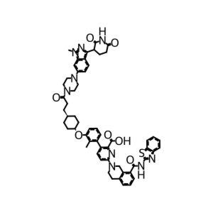 Cc1c(O[C@H]2CC[C@H](CCC(=O)N3CCN(c4ccc5c(C6CCC(=O)NC6=O)nn(C)c5c4)CC3)CC2)cccc1-c1ccc(N2CCc3cccc(C(=O)Nc4nc5ccccc5s4)c3C2)nc1C(=O)O